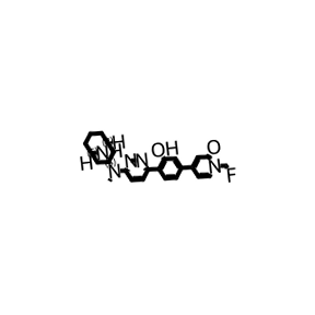 CN(c1ccc(-c2ccc(-c3ccn(CF)c(=O)c3)cc2O)nn1)[C@@H]1C[C@H]2CCC[C@@H](C1)N2